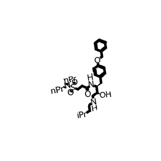 CCCN(CCC)S(=O)(=O)CCC(=O)N[C@@H](Cc1ccc(OCc2ccccc2)cc1)[C@@H](O)CNCCC(C)C